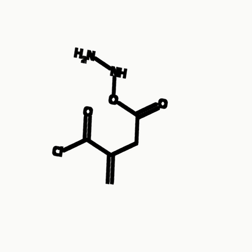 C=C(CC(=O)ONN)C(=O)Cl